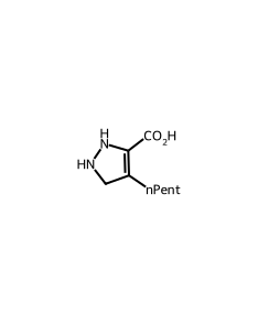 CCCCCC1=C(C(=O)O)NNC1